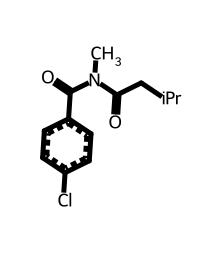 CC(C)CC(=O)N(C)C(=O)c1ccc(Cl)cc1